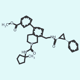 COC(=O)c1cccc(-c2ccc(CNC(=O)[C@@H]3C[C@@H]3c3ccccc3)c3c2CCN(C(=O)NC2(C)CCCC2)C3)c1